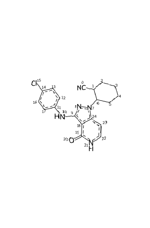 N#CC1CCCCC1n1nc(Nc2ccc(Cl)cc2)c2c(=O)[nH]ccc21